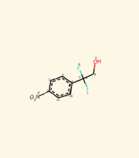 O=[N+]([O-])c1ccc(C(F)(F)CO)cc1